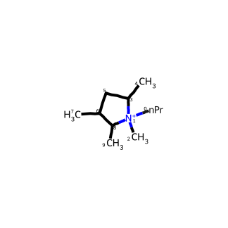 CCC[N+]1(C)C(C)CC(C)C1C